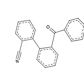 N#Cc1ccccc1-c1ccccc1C(=O)c1ccccc1